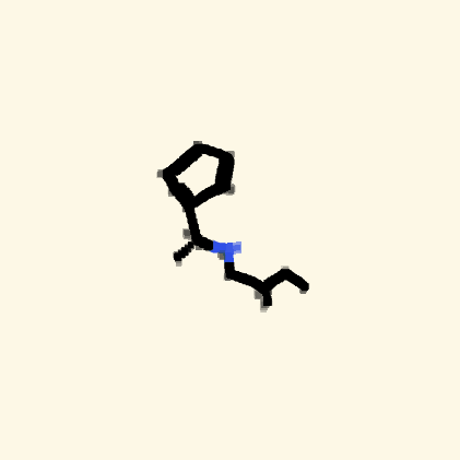 CC[C@@H](C)CN[C@H](C)c1ccccc1